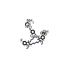 CCN1/C(=C/C=C/C=C/C2=[N+](CC)c3ccc(S(=O)(=O)O)cc3C2(C)C)C(C)(CCCC(=O)NCc2ccc(COc3nccc(N)n3)cc2)c2cc(F)ccc21